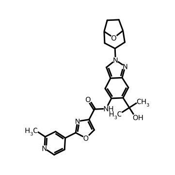 Cc1cc(-c2nc(C(=O)Nc3cc4cn(C5CC6CCC(C5)O6)nc4cc3C(C)(C)O)co2)ccn1